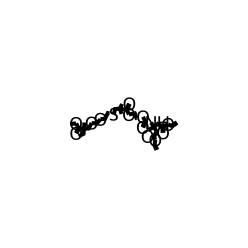 C=COC(=O)CC(C)(CC(=O)OC=C)NC(=O)OCCOC(=O)C(C)(C)CSCCOCOCC(C)(CC)C(=O)OC